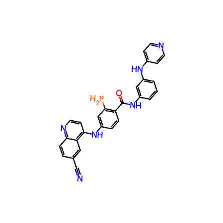 N#Cc1ccc2nccc(Nc3ccc(C(=O)Nc4cccc(Nc5ccncc5)c4)c(P)c3)c2c1